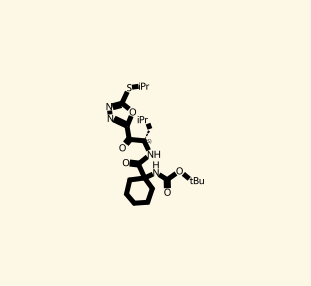 CC(C)C[C@H](NC(=O)C1(NC(=O)OC(C)(C)C)CCCCC1)C(=O)c1nnc(SC(C)C)o1